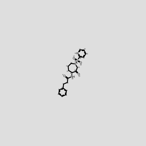 O=C([CH]Cc1ccccc1)N[C@H]1CCCN(S(=O)(=O)c2ccccn2)CC1=O